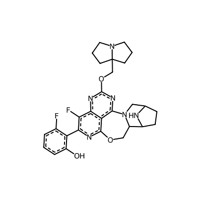 Oc1cccc(F)c1-c1nc2c3c(nc(OCC45CCCN4CCC5)nc3c1F)N1CC3CCC(N3)C1CO2